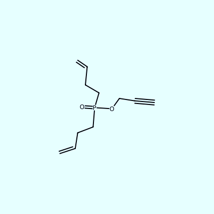 C#CCOP(=O)(CCC=C)CCC=C